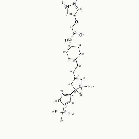 Cn1cc(OCC(=O)N[C@H]2CC[C@H](CCN3C[C@@H]4C[C@]4(c4cc(C(C)(F)F)on4)C3)CC2)cn1